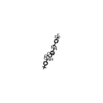 CC(C)(C)c1ccc(C(=O)NC(Cc2ccc(-c3ncc(-c4ccc(C(F)(F)F)cc4)cn3)cc2)C(=O)O)cc1